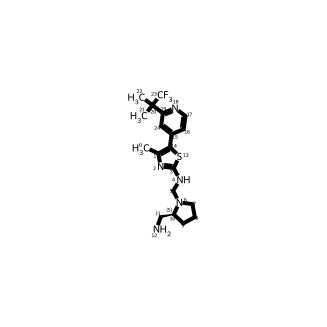 Cc1nc(NCN2CCC[C@H]2CN)sc1-c1ccnc(C(C)(C)C(F)(F)F)c1